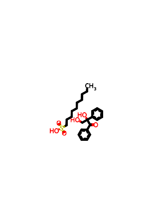 CCCCCCCCCCS(=O)(=O)O.O=C(c1ccccc1)C(O)(CO)c1ccccc1